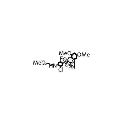 COCCCCNc1cc(F)c(S(=O)(=O)N(Cc2ccc(OC)cc2OC)c2ncns2)cc1Cl